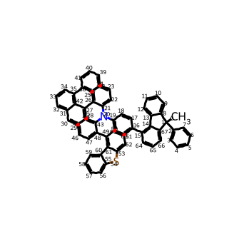 CC1(c2ccccc2)c2ccccc2-c2c(-c3ccc(N(c4ccccc4-c4cccc5cccc(-c6ccccc6)c45)c4ccccc4-c4cccc5sc6ccccc6c45)cc3)cccc21